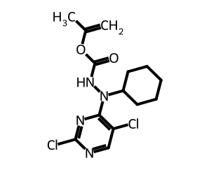 C=C(C)OC(=O)NN(c1nc(Cl)ncc1Cl)C1CCCCC1